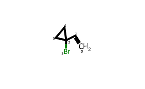 C=CC1(Br)CC1